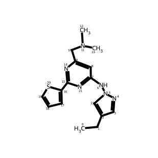 CCc1cnn(Nc2cc(CN(C)C)nc(-c3cccs3)n2)c1